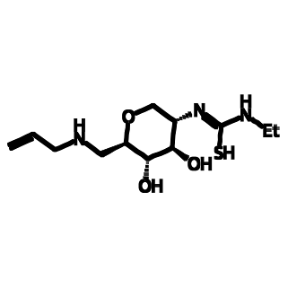 C=CCNC[C@H]1OC[C@H](/N=C(\S)NCC)[C@@H](O)[C@@H]1O